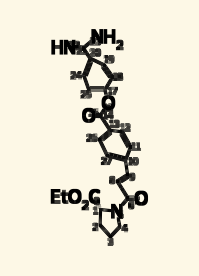 CCOC(=O)[C@H]1CCCN1C(=O)/C=C/c1ccc(C(=O)Oc2ccc(C(=N)N)cc2)cc1